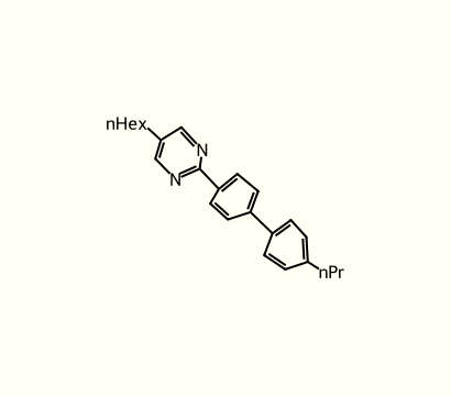 CCCCCCc1cnc(-c2ccc(-c3ccc(CCC)cc3)cc2)nc1